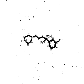 CC(C)C(C#N)(CCCN1CCNCC1)c1cccc(F)c1